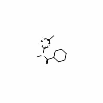 Cc1noc(N(C)C(=O)C2CCCCC2)n1